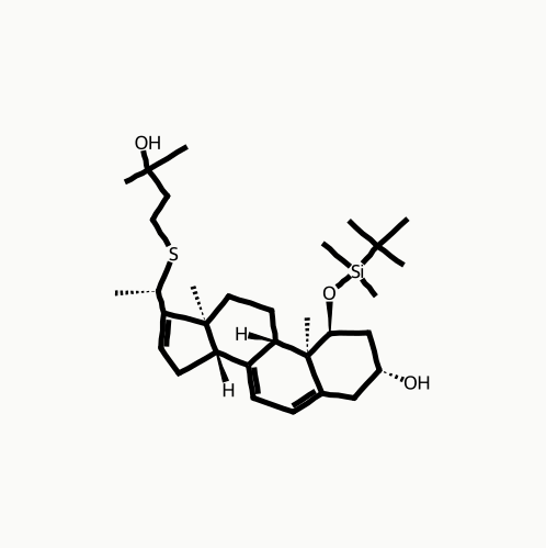 C[C@H](SCCC(C)(C)O)C1=CC[C@H]2C3=CC=C4C[C@@H](O)C[C@H](O[Si](C)(C)C(C)(C)C)[C@]4(C)[C@H]3CC[C@]12C